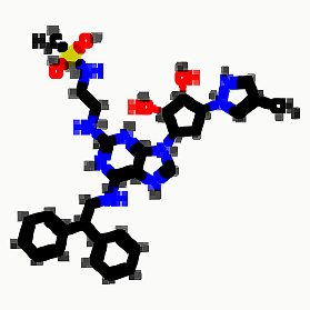 Cc1cnn([C@H]2C[C@@H](n3cnc4c(NCC(c5ccccc5)c5ccccc5)nc(NCCNS(C)(=O)=O)nc43)[C@H](O)[C@@H]2O)c1